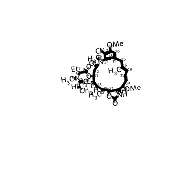 CBC(=O)N(C)[C@@H](CC)C(=O)O[C@H]1CC(=O)N(C)c2cc(cc(OC)c2Cl)C/C(C)=C/C=C/[C@@H](OC)[C@@]2(O)CC(OC(=O)N2)[C@@H](C)[C@@H]2O[C@@]12C